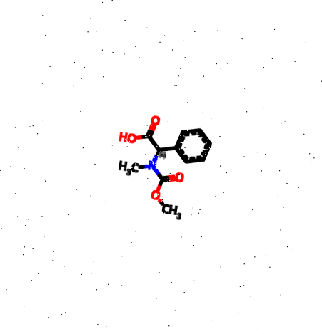 COC(=O)N(C)[C@@H](C(=O)O)c1ccccc1